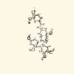 COc1cc(OC)cc(-c2c(-c3ccc(OC)c(OC)c3)oc3c(OC)cc(CCc4ccc(OC)c(OC)c4)cc23)c1